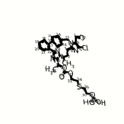 CCCCc1nc(Cl)c(C=O)n1Cc1ccc(-c2ccccc2-c2nnn(C(C)OC(=O)OCCSCCON(O)O)n2)cc1